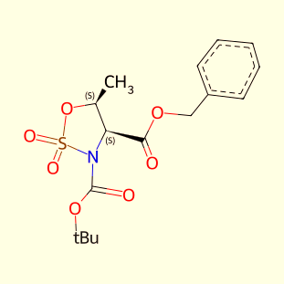 C[C@@H]1OS(=O)(=O)N(C(=O)OC(C)(C)C)[C@@H]1C(=O)OCc1ccccc1